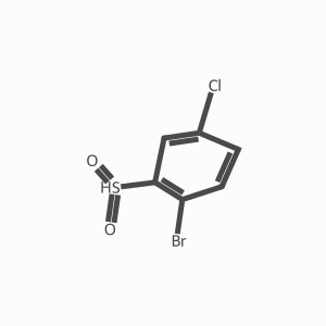 O=[SH](=O)c1cc(Cl)ccc1Br